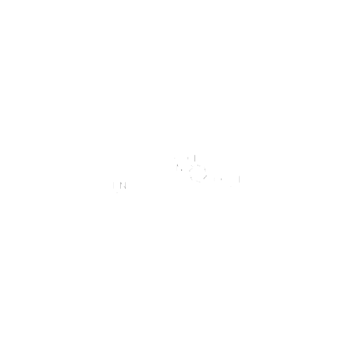 NCCCCCCN(C(=O)O)c1ccc(C(=O)O)cc1